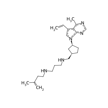 C=Cc1cn([C@H]2CC[C@@H](CNCCCNCCC(=C)C)C2)c2ncnc(C)c12